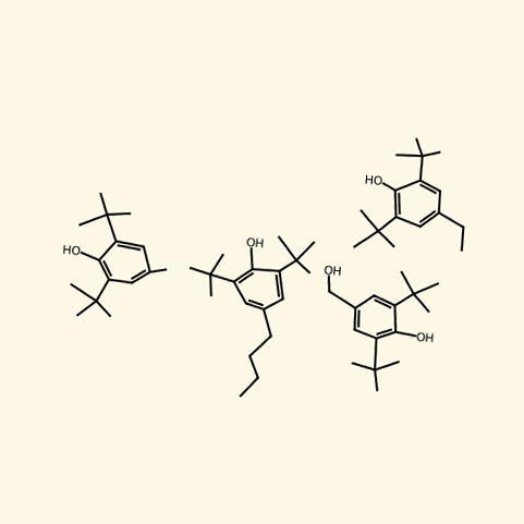 CC(C)(C)c1cc(CO)cc(C(C)(C)C)c1O.CCCCc1cc(C(C)(C)C)c(O)c(C(C)(C)C)c1.CCc1cc(C(C)(C)C)c(O)c(C(C)(C)C)c1.Cc1cc(C(C)(C)C)c(O)c(C(C)(C)C)c1